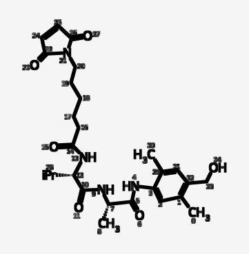 Cc1cc(NC(=O)[C@H](C)NC(=O)[C@@H](NC(=O)CCCCCN2C(=O)C=CC2=O)C(C)C)c(C)cc1CO